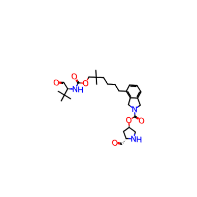 CC(C)(CCCCc1cccc2c1CN(C(=O)O[C@H]1CN[C@H](C=O)C1)C2)COC(=O)N[C@H](C=O)C(C)(C)C